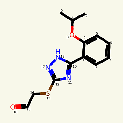 CC(C)Oc1ccccc1-c1nc(SCC=O)n[nH]1